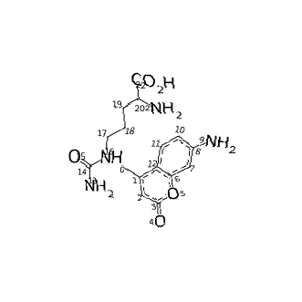 Cc1cc(=O)oc2cc(N)ccc12.NC(=O)NCCCC(N)C(=O)O